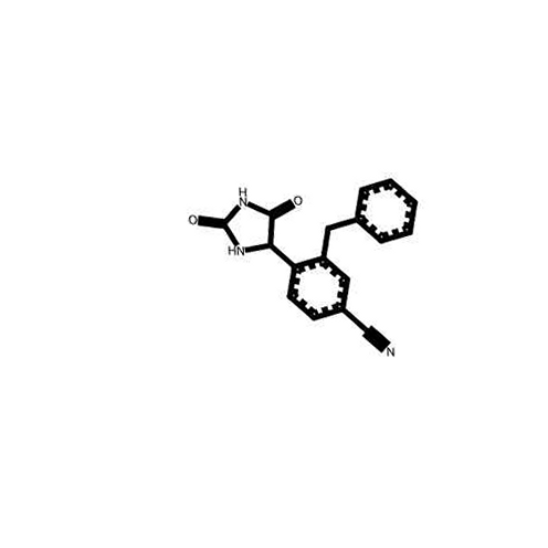 N#Cc1ccc(C2NC(=O)NC2=O)c(Cc2ccccc2)c1